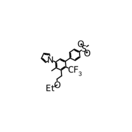 CCOCCc1c(C)c(-n2cccc2)cc(-c2ccc(S(C)(=O)=O)cc2)c1C(F)(F)F